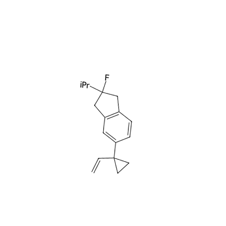 C=CC1(c2ccc3c(c2)CC(F)(C(C)C)C3)CC1